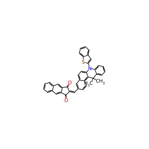 CC1(C)c2ccccc2N(c2cc3ccccc3s2)c2ccc3cc(C=C4C(=O)c5cc6ccccc6cc5C4=O)ccc3c21